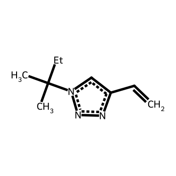 C=Cc1cn(C(C)(C)CC)nn1